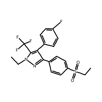 CCn1nc(-c2ccc(S(=O)(=O)CC)cc2)c(-c2ccc(F)cc2)c1C(F)(F)F